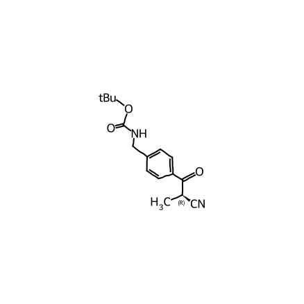 C[C@H](C#N)C(=O)c1ccc(CNC(=O)OC(C)(C)C)cc1